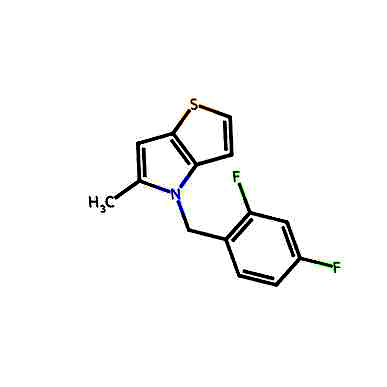 Cc1cc2sccc2n1Cc1ccc(F)cc1F